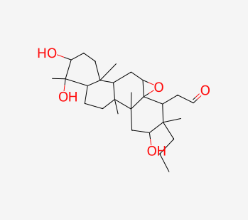 CCCC1(C)C(O)CC2(C)C3(C)CCC4C(C)(O)C(O)CCC4(C)C3CC3OC32C1CC=O